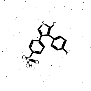 CS(=O)(=O)c1ccc(-c2csc(F)c2-c2ccc(F)cc2)cc1